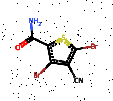 N#Cc1c(Br)sc(C(N)=O)c1Br